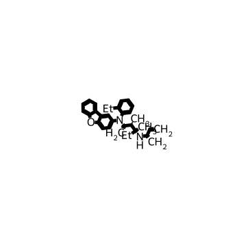 C=CC(=C)NC(C)(CC)[C@@H](C)C(=C)N(c1ccc2oc3ccccc3c2c1)c1ccccc1CC